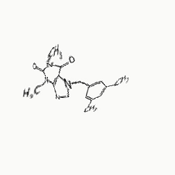 Cc1cc(C)cc(Cn2cnc3c2c(=O)n(C)c(=O)n3C)c1